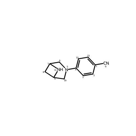 N#Cc1ccc(N2CC3CC(C2)N3)cc1